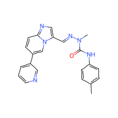 Cc1ccc(NC(=O)N(C)N=Cc2cnc3ccc(-c4cccnc4)cn23)cc1